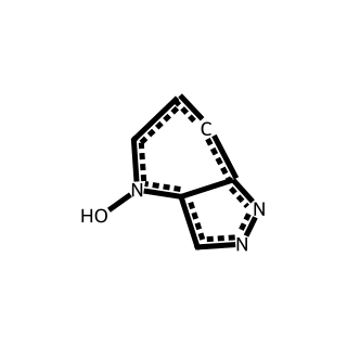 On1cccc2nncc1-2